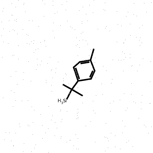 Cc1ccc(C(C)(C)[SiH3])cc1